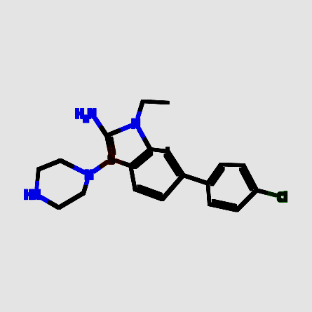 CCN1C(N)=S(N2CCNCC2)c2ccc(-c3ccc(Cl)cc3)[c]c21